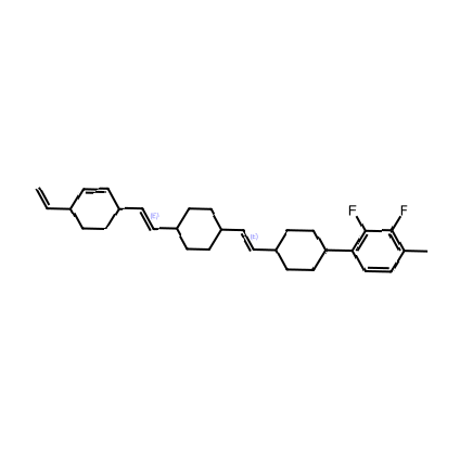 C=CC1C=CC(/C=C/C2CCC(/C=C/C3CCC(c4ccc(C)c(F)c4F)CC3)CC2)CC1